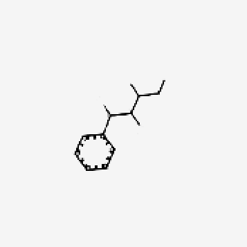 OC(c1ccccc1)C(F)C(F)CF